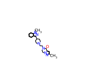 Cc1cc2n(n1)CCN(CCN1CCC(c3nn(C)c4ccccc34)CC1)C2=O